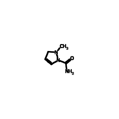 CN1CC=CN1C(N)=O